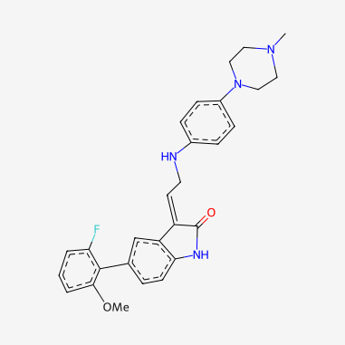 COc1cccc(F)c1-c1ccc2c(c1)/C(=C/CNc1ccc(N3CCN(C)CC3)cc1)C(=O)N2